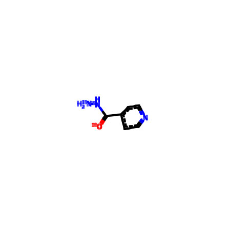 [15NH2][15NH]C(=[18O])c1ccncc1